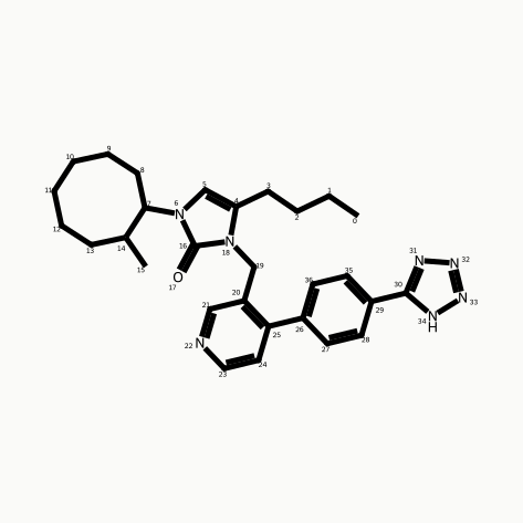 CCCCc1cn(C2CCCCCCC2C)c(=O)n1Cc1cnccc1-c1ccc(-c2nnn[nH]2)cc1